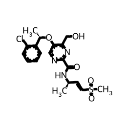 C[C@H](/C=C/S(C)(=O)=O)NC(=O)c1ncc(O[C@@H](C)c2ccccc2Cl)c(CO)n1